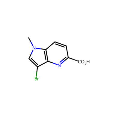 Cn1cc(Br)c2nc(C(=O)O)ccc21